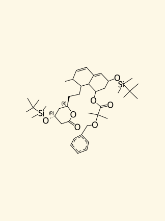 CC1C=CC2=CC(O[Si](C)(C)C(C)(C)C)CC(OC(=O)C(C)(C)OCc3ccccc3)C2C1CC[C@@H]1C[C@@H](O[Si](C)(C)C(C)(C)C)CC(=O)O1